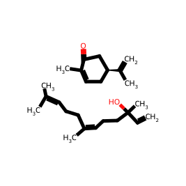 C=C(C)[C@H]1CC=C(C)C(=O)C1.C=CC(C)(O)CCC=C(C)CCC=C(C)C